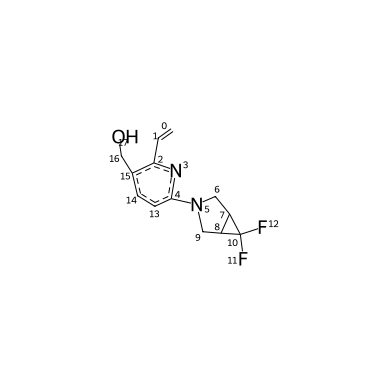 C=Cc1nc(N2CC3C(C2)C3(F)F)ccc1CO